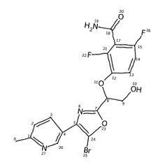 Cc1ccc(-c2nc(C(CO)Oc3ccc(F)c(C(N)=O)c3F)oc2Br)cn1